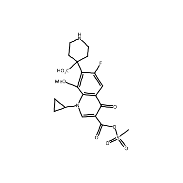 COc1c(C2(C(=O)O)CCNCC2)c(F)cc2c(=O)c(C(=O)OS(C)(=O)=O)cn(C3CC3)c12